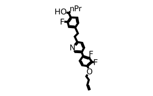 C=CCCOc1ccc(-c2ccc(CCc3ccc(C(O)CCC)c(F)c3)nc2)c(F)c1F